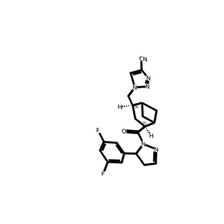 N#Cc1cn(C[C@@H]2C[C@H](C(=O)N3N=CCC3c3cc(F)cc(F)c3)C3CC2C3)nn1